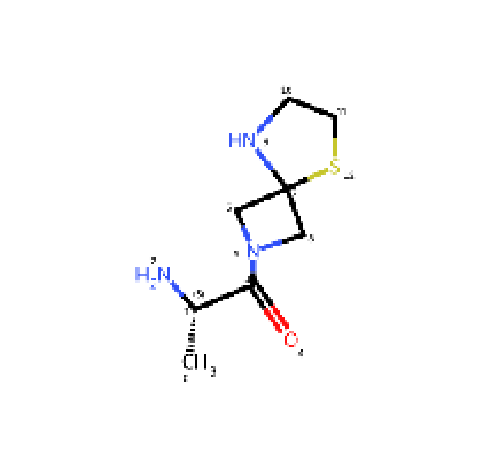 C[C@H](N)C(=O)N1CC2(C1)NCCS2